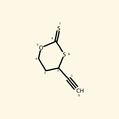 C#CC1CCOC(=S)S1